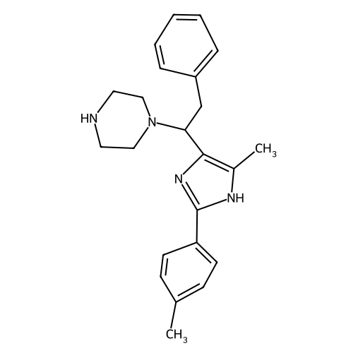 Cc1ccc(-c2nc(C(Cc3ccccc3)N3CCNCC3)c(C)[nH]2)cc1